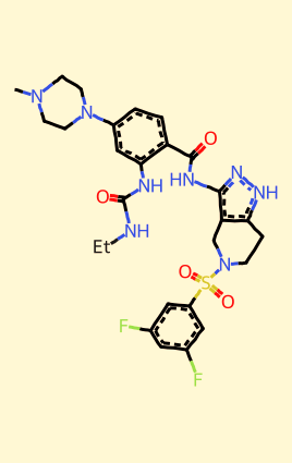 CCNC(=O)Nc1cc(N2CCN(C)CC2)ccc1C(=O)Nc1n[nH]c2c1CN(S(=O)(=O)c1cc(F)cc(F)c1)CC2